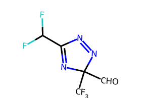 O=CC1(C(F)(F)F)N=NC(C(F)F)=N1